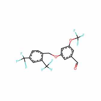 O=Cc1cc(OCc2ccc(C(F)(F)F)cc2C(F)(F)F)cc(OC(F)(F)F)c1